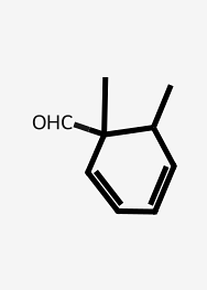 CC1C=CC=CC1(C)C=O